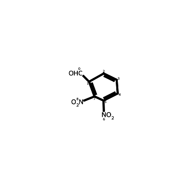 O=Cc1cccc([N+](=O)[O-])c1[N+](=O)[O-]